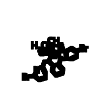 CC(C)(C)[S@+]([O-])NC(Cc1cccc(Br)n1)c1ccccc1-c1noc2cc(Br)ccc12